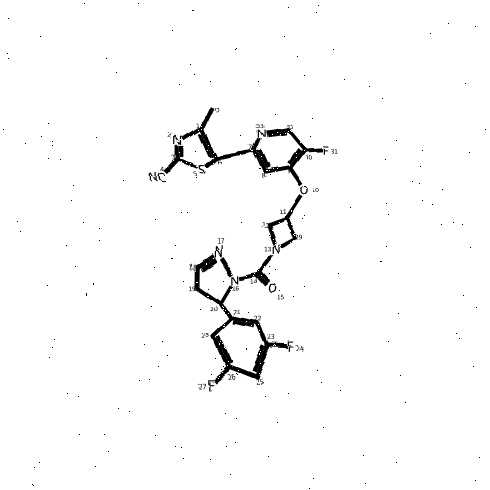 Cc1nc(C#N)sc1-c1cc(OC2CN(C(=O)N3N=CCC3c3cc(F)cc(F)c3)C2)c(F)cn1